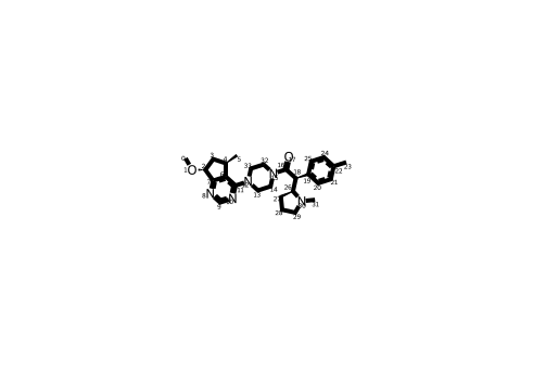 CO[C@@H]1C[C@@H](C)c2c1ncnc2N1CCN(C(=O)[C@@H](c2ccc(C)cc2)[C@@H]2CCCN2C)CC1